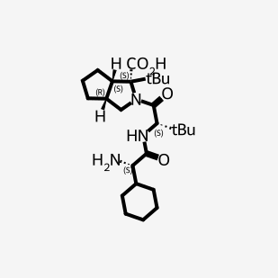 CC(C)(C)[C@H](NC(=O)[C@@H](N)C1CCCCC1)C(=O)N1C[C@@H]2CCC[C@@H]2[C@@]1(C(=O)O)C(C)(C)C